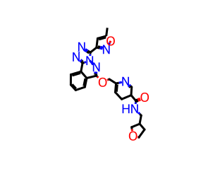 Cc1cc(-c2nnc3c4ccccc4c(OCC4=CCC(C(=O)NCC5CCOC5)C=N4)nn23)no1